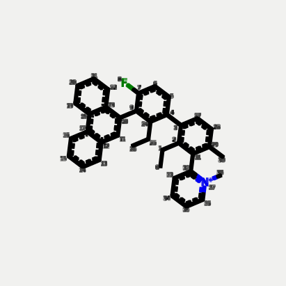 CCc1c(-c2ccc(F)c(-c3cc4ccccc4c4ccccc34)c2CC)ccc(C)c1-c1cccc[n+]1C